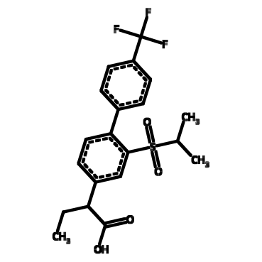 CCC(C(=O)O)c1ccc(-c2ccc(C(F)(F)F)cc2)c(S(=O)(=O)C(C)C)c1